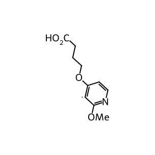 COc1[c]c(OCCCC(=O)O)ccn1